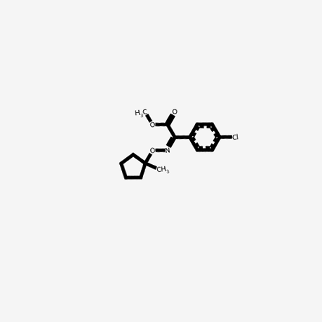 COC(=O)/C(=N\OC1(C)CCCC1)c1ccc(Cl)cc1